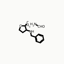 CC1OCCC1NCc1ccccc1.NC=O